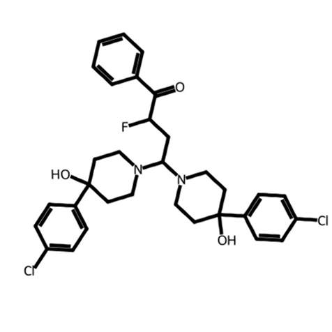 O=C(c1ccccc1)C(F)CC(N1CCC(O)(c2ccc(Cl)cc2)CC1)N1CCC(O)(c2ccc(Cl)cc2)CC1